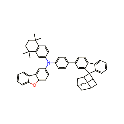 CC1(C)CCC(C)(C)c2cc(N(c3ccc(-c4ccc5c(c4)C4(c6ccccc6-5)C5CC6CC7CC4C75C6)cc3)c3ccc4oc5ccccc5c4c3)ccc21